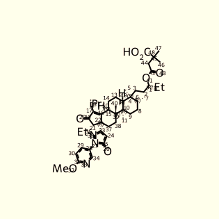 CC[C@H](CC[C@@]1(C)[C@H](C)CC[C@]2(C)[C@@H]1CC[C@@H]1C3=C(C(C)C)C(=O)C[C@]3(c3cc(=O)n(-c4ccc(OC)nc4)n3CC)CC[C@]12C)OC(=O)CC(C)(C)C(=O)O